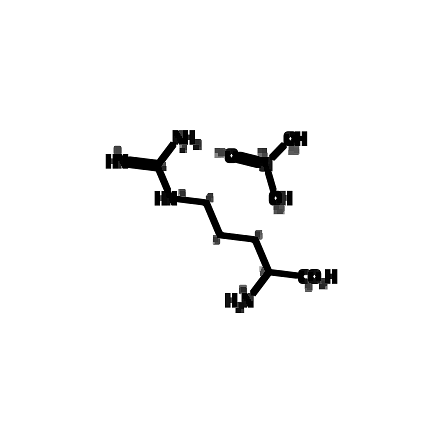 N=C(N)NCCCC(N)C(=O)O.O=[Si](O)O